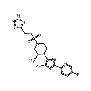 C[C@H]1CN(S(=O)(=O)CCc2nn[nH]n2)CC[C@H]1c1[nH]c(-c2ccc(F)cn2)nc1Cl